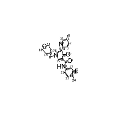 Cc1ccc(-c2cn(CC3CCOCC3)cc(C(=O)Nc3ccc(C)c(F)c3)c2=O)nc1